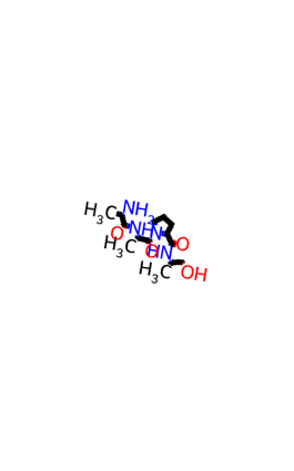 CC(CO)NC(=O)C1CCCN1C(=O)C(C)NC(=O)C(C)N